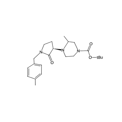 Cc1ccc(CN2CC[C@@H](N3CCN(C(=O)OC(C)(C)C)CC3C)C2=O)cc1